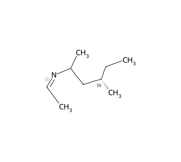 C/C=N\C(C)C[C@@H](C)CC